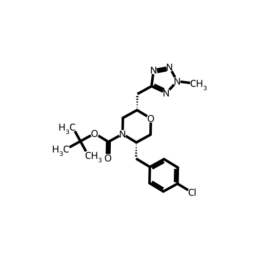 Cn1nnc(C[C@H]2CN(C(=O)OC(C)(C)C)[C@@H](Cc3ccc(Cl)cc3)CO2)n1